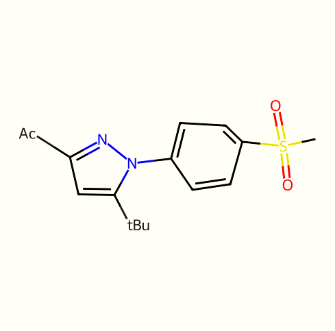 CC(=O)c1cc(C(C)(C)C)n(-c2ccc(S(C)(=O)=O)cc2)n1